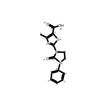 Cc1nc(N2CCN(c3ccccc3)C2=O)sc1C(=O)O